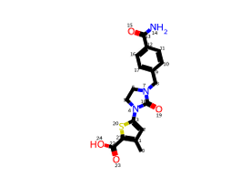 Cc1cc(N2CCN(Cc3ccc(C(N)=O)cc3)C2=O)sc1C(=O)O